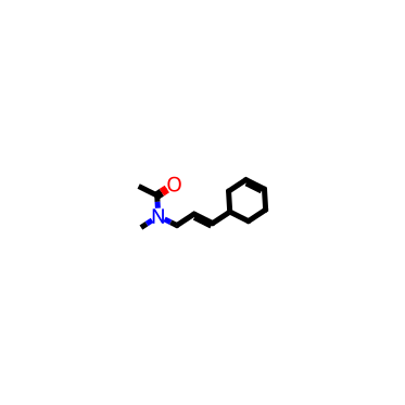 CC(=O)N(C)C/C=C/C1CC=CCC1